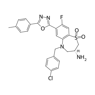 Cc1ccc(-c2nnc(-c3cc4c(cc3F)S(=O)(=O)C[C@H](N)CN4Cc3ccc(Cl)cc3)o2)cc1